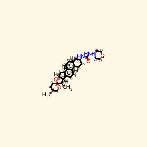 C[C@H]1CC[C@@]2(OC1)O[C@H]1C[C@H]3[C@@H]4CC[C@@H]5C[C@H](NC(=O)NN6CCOCC6)CC[C@]5(C)[C@H]4CC[C@]3(C)[C@H]1[C@@H]2C